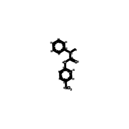 CN(C(=O)Oc1ccc([N+](=O)[O-])cn1)c1ccccc1